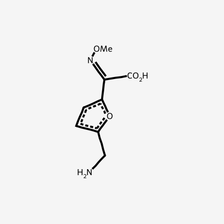 CON=C(C(=O)O)c1ccc(CN)o1